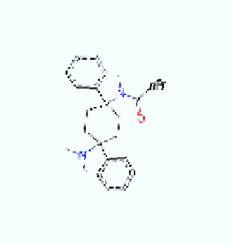 CCCC(=O)N(C)C1(c2ccccc2)CCC(c2ccccc2)(N(C)C)CC1